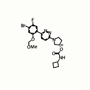 COCOc1cc(Br)c(F)cc1-c1ccc(N2CC[C@H](OC(=O)NC3CCC3)C2)nn1